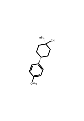 CCCC[C@]1(C#N)CC[C@H](c2ccc(OC)cc2)CC1